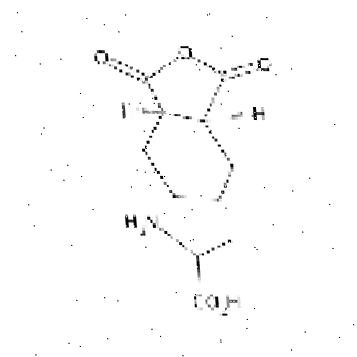 CC(N)C(=O)O.O=C1OC(=O)[C@@H]2CCCC[C@H]12